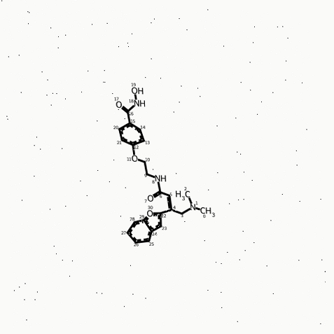 CN(C)CC(=CC(=O)NCCOc1ccc(C(=O)NO)cc1)c1cc2ccccc2o1